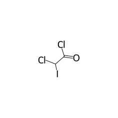 O=C(Cl)C(Cl)I